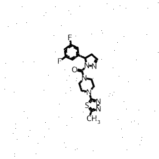 Cc1nnc(N2CCN(C(=O)N3N=CCC3c3cc(F)cc(F)c3)CC2)s1